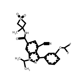 CC(C)n1nc(-c2cccc(OC(F)F)c2)c2c(C#N)cc(C(=O)NC3(C)CS(=O)(=O)C3)cc21